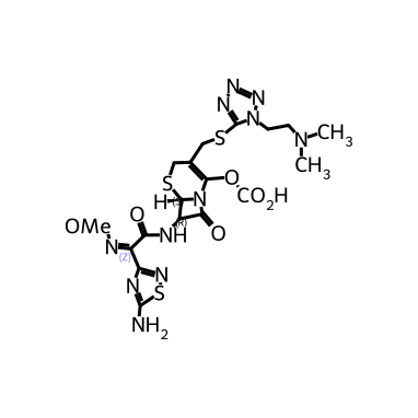 CO/N=C(\C(=O)N[C@@H]1C(=O)N2C(OC(=O)O)=C(CSc3nnnn3CCN(C)C)CS[C@@H]12)c1nsc(N)n1